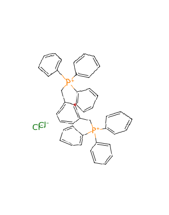 [Cl-].[Cl-].c1ccc([P+](Cc2cccc(C[P+](c3ccccc3)(c3ccccc3)c3ccccc3)c2)(c2ccccc2)c2ccccc2)cc1